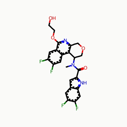 CN(C(=O)c1cc2cc(F)c(F)cc2[nH]1)C1COCc2nc(OCCO)c3cc(F)c(F)cc3c21